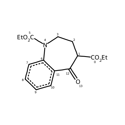 CCOC(=O)C1CCN(C(=O)OCC)c2ccccc2C1=O